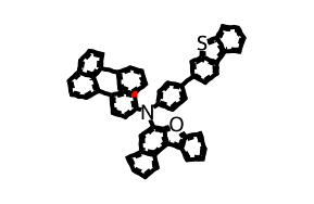 c1ccc(-c2cccc3cccc(-c4ccc(N(c5ccc(-c6ccc7c(c6)sc6ccccc67)cc5)c5cc6ccccc6c6c5oc5ccccc56)cc4)c23)cc1